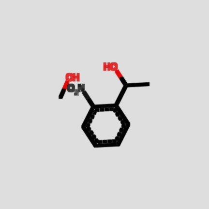 CC(O)c1ccccc1[N+](=O)[O-].CO